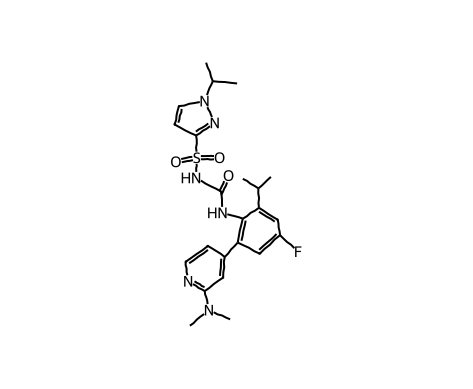 CC(C)c1cc(F)cc(-c2ccnc(N(C)C)c2)c1NC(=O)NS(=O)(=O)c1ccn(C(C)C)n1